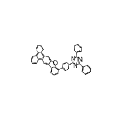 c1ccc(-c2nc(-c3ccccc3)nc(-c3ccc(-c4cccc5c4oc4cc6c7ccccc7c7ccccc7c6cc45)cc3)n2)cc1